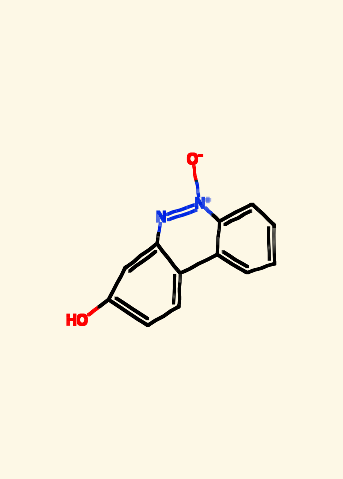 [O-][n+]1nc2cc(O)ccc2c2ccccc21